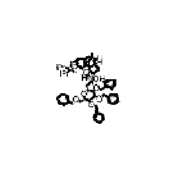 CC(C)[Si](Oc1ccc2c3c1O[C@@H]1[C@]34CCN(C)[C@H](C2)[C@@H]4C=C[C@@]1(O)NC(=O)C[C@@H]1O[C@H](COCc2ccccc2)[C@@H](OCc2ccccc2)[C@H](OCc2ccccc2)[C@H]1OCc1ccccc1)(C(C)C)C(C)C